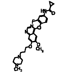 COc1cc2c(Oc3ccc(NC(=O)C4CC4)cc3F)ncnc2cc1OCCCN1CCN(C)CC1